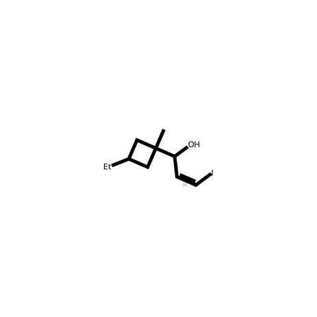 CCC1CC(C)(C(O)/C=C\I)C1